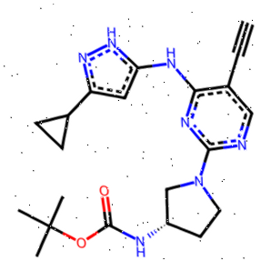 C#Cc1cnc(N2CC[C@H](NC(=O)OC(C)(C)C)C2)nc1Nc1cc(C2CC2)n[nH]1